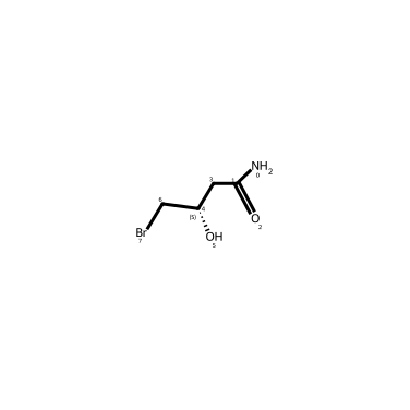 NC(=O)C[C@H](O)CBr